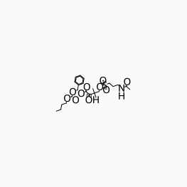 CCCCOC(=O)OC(OC(=O)[C@H](O)C(C)(C)COS(=O)(=O)CCCNC(C)=O)c1ccccc1